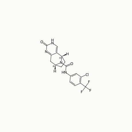 O=C(Nc1ccc(C(F)(F)F)c(Cl)c1)N1[C@@H]2CC[C@H]1c1c[nH]c(=O)nc1C2